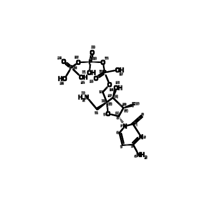 C=C1N=C(N)C=CN1[C@@H]1O[C@](CN)(COP(=O)(O)OP(=O)(O)OP(=O)(O)O)[C@@H](O)[C@H]1F